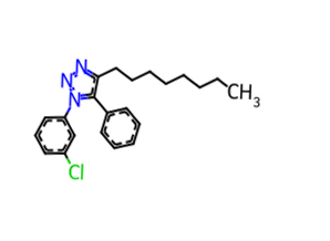 CCCCCCCCc1nnn(-c2cccc(Cl)c2)c1-c1ccccc1